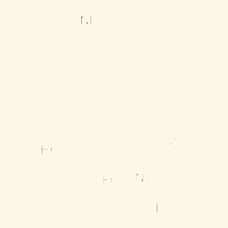 CCN(CC)C(=O)C1CCC(CN)CC1.Cl